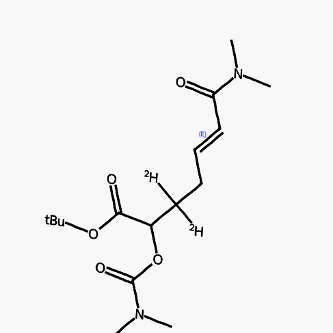 [2H]C([2H])(C/C=C/C(=O)N(C)C)C(OC(=O)N(C)C)C(=O)OC(C)(C)C